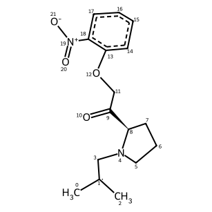 C[C](C)CN1CCC[C@@H]1C(=O)COc1ccccc1[N+](=O)[O-]